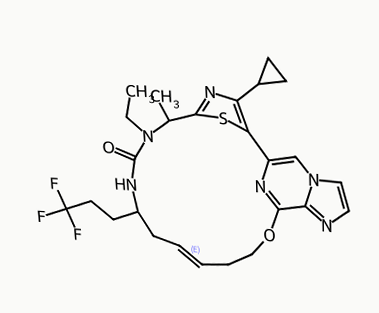 CCN1C(=O)NC(CCC(F)(F)F)C/C=C/CCOc2nc(cn3ccnc23)-c2sc(nc2C2CC2)C1C